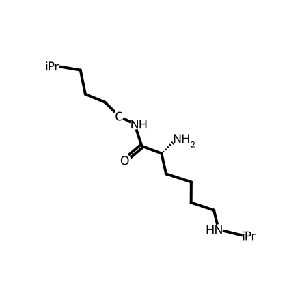 CC(C)CCCCNC(=O)[C@H](N)CCCCNC(C)C